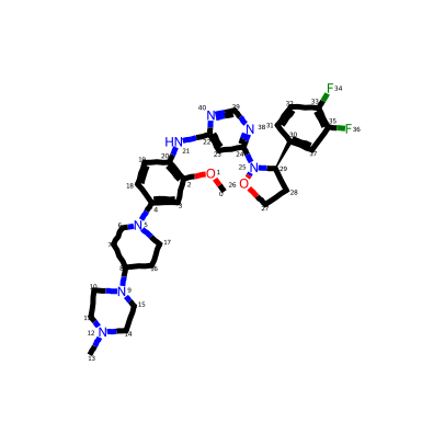 COc1cc(N2CCC(N3CCN(C)CC3)CC2)ccc1Nc1cc(N2OCC[C@@H]2c2ccc(F)c(F)c2)ncn1